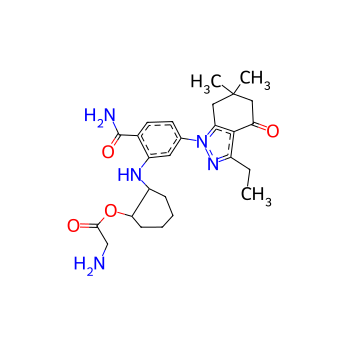 CCc1nn(-c2ccc(C(N)=O)c(NC3CCCCC3OC(=O)CN)c2)c2c1C(=O)CC(C)(C)C2